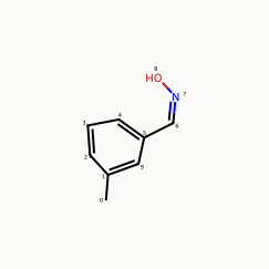 Cc1[c]ccc(/C=N\O)c1